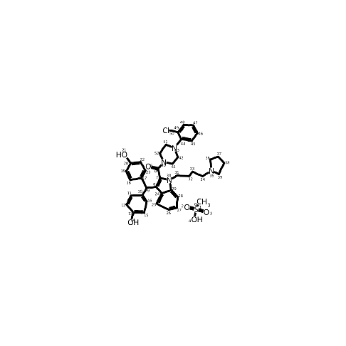 CS(=O)(=O)O.O=C(c1c(C(c2ccc(O)cc2)c2ccc(O)cc2)c2ccccc2n1CCCCN1CCCC1)N1CCN(c2ccccc2Cl)CC1